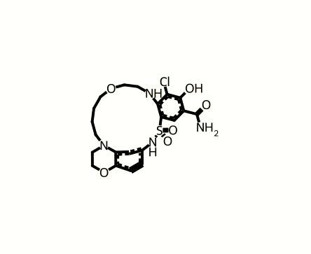 NC(=O)c1cc2c(c(Cl)c1O)NCCOCCCCN1CCOc3c#cc(cc31)NS2(=O)=O